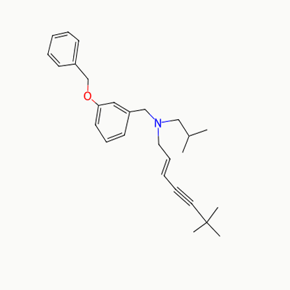 CC(C)CN(C/C=C/C#CC(C)(C)C)Cc1cccc(OCc2ccccc2)c1